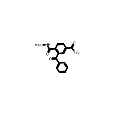 CONC(=O)c1ccc(C(=O)C(C)(C)C)cc1C(=O)c1ccccc1